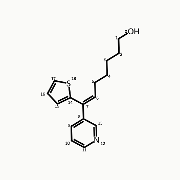 OCCCCCC=C(c1cccnc1)c1cccs1